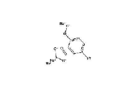 C=O.CC(C)c1ccc(O[O-])cc1.[Na+].[Na+].[Na+].[O-]S[O-]